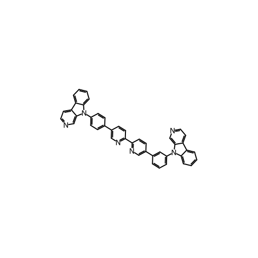 c1cc(-c2ccc(-c3ccc(-c4ccc(-n5c6ccccc6c6ccncc65)cc4)cn3)nc2)cc(-n2c3ccccc3c3ccncc32)c1